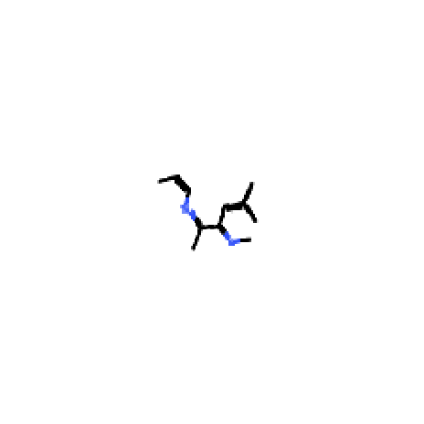 C\C=C/N=C(C)\C(C=C(C)C)=N\C